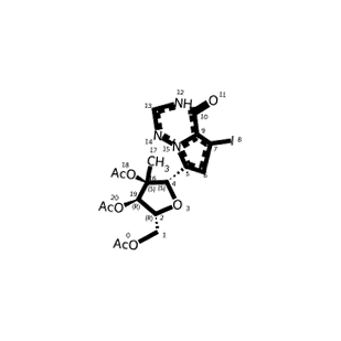 CC(=O)OC[C@H]1O[C@@H](c2cc(I)c3c(=O)[nH]cnn23)[C@](C)(OC(C)=O)[C@@H]1OC(C)=O